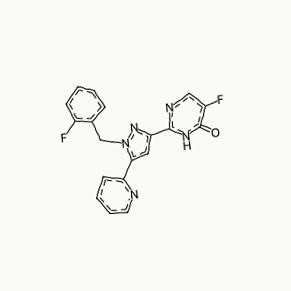 O=c1[nH]c(-c2cc(-c3ccccn3)n(Cc3ccccc3F)n2)ncc1F